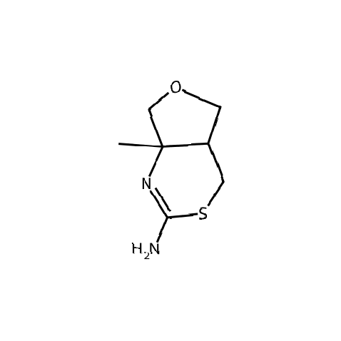 CC12COCC1CSC(N)=N2